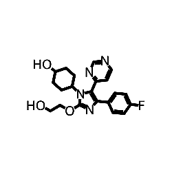 OCCOc1nc(-c2ccc(F)cc2)c(-c2ccncn2)n1C1CCC(O)CC1